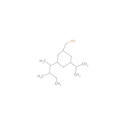 CCC(C)C(C)C1CC(CS)CC(C(C)C)C1